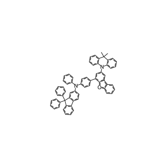 CC1(C)c2ccccc2N(c2cc(-c3ccc(N(c4ccccc4)c4ccc5c(c4)C(c4ccccc4)(c4ccccc4)c4ccccc4-5)cc3)c3oc4ccccc4c3c2)c2ccccc21